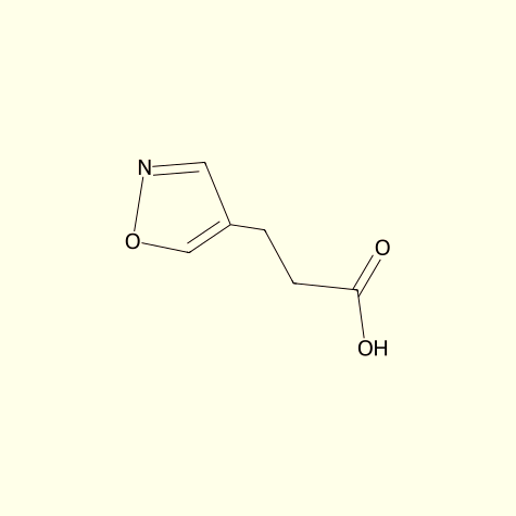 O=C(O)CCc1cnoc1